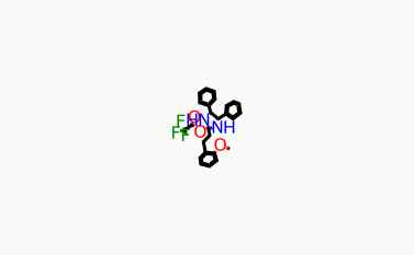 COc1ccccc1CCC1(OC(=O)C(F)(F)F)NC(c2ccccc2)C(c2ccccc2)N1